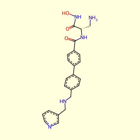 NC[C@H](NC(=O)c1ccc(-c2ccc(CNCc3cccnc3)cc2)cc1)C(=O)NO